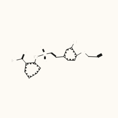 C#CCOc1ccc(/C=C/S(=O)(=O)Nc2ccccc2C(=O)O)cc1C